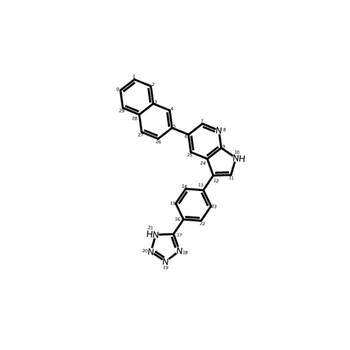 c1ccc2cc(-c3cnc4[nH]cc(-c5ccc(-c6nnn[nH]6)cc5)c4c3)ccc2c1